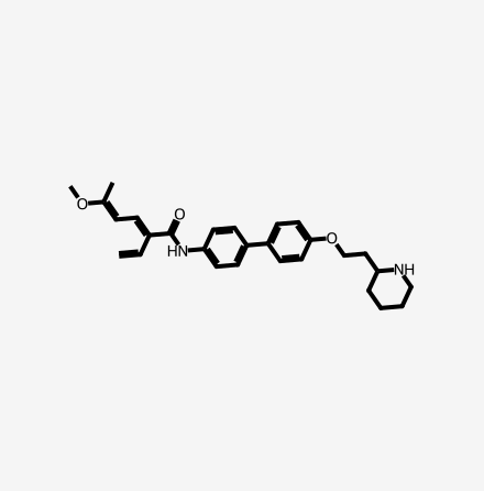 C=C/C(=C\C=C(/C)OC)C(=O)Nc1ccc(-c2ccc(OCCC3CCCCN3)cc2)cc1